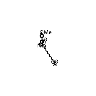 C=C(C)C(=O)OCCCCCCCCCCOc1cncc2cc(-c3ccc(OC)cc3)c(=O)oc12